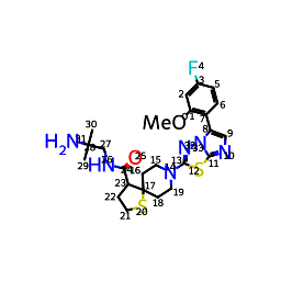 COc1cc(F)ccc1-c1cnc2sc(N3CCC4(CC3)SCCC4C(=O)NCC(C)(C)N)nn12